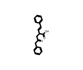 O=C(Cc1ccccc1)CC(C=Cc1ccccc1)C(=O)O